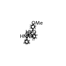 COc1ccc(C(=O)NC(C(=O)NC(=N)c2ccccc2)c2ccccc2)cc1